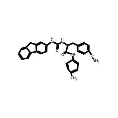 Cc1ccc(NC(=O)C(Cc2ccc(CN)cc2)NC(=O)Nc2ccc3c(c2)Cc2ccccc2-3)cc1